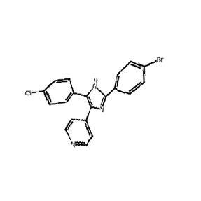 Clc1ccc(-c2[nH]c(-c3ccc(Br)cc3)nc2-c2ccncc2)cc1